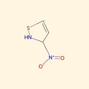 O=[N+]([O-])C1C=[C]SN1